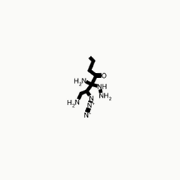 CCCC(=O)C(N)(NN)C(CN)N=[N+]=[N-]